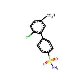 NS(=O)(=O)c1ccc(-c2cc(C(=O)O)ccc2Cl)cc1